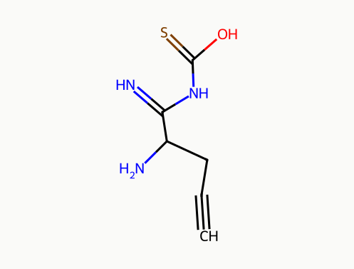 C#CCC(N)C(=N)NC(O)=S